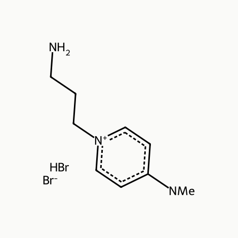 Br.CNc1cc[n+](CCCN)cc1.[Br-]